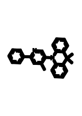 Cc1cc(-c2ccccc2)ncc1N1c2ccccc2C(C)(C)c2ccccc21